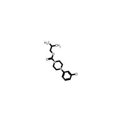 CC(C)COC(=O)N1CCN(c2cccc(Cl)c2)CC1